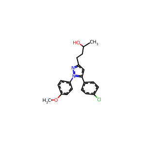 COc1ccc(-n2nc(CCC(C)O)cc2-c2ccc(Cl)cc2)cc1